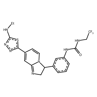 CCNc1nnc(C2=CC3=NCC(c4cccc(NC(=O)NCC(F)(F)F)c4)N3C=C2)s1